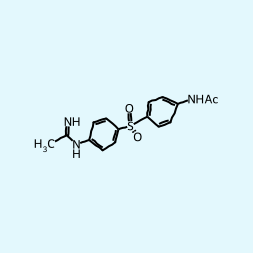 CC(=N)Nc1ccc(S(=O)(=O)c2ccc(NC(C)=O)cc2)cc1